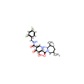 CC1CCC(C)CN(C(=O)c2[nH]cc(C(=O)NCc3ccc(F)cc3F)c(=O)c2O)C1